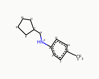 FC(F)(F)c1ccc(NCC2CCCC2)cc1